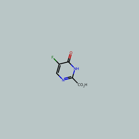 O=C(O)c1ncc(F)c(=O)[nH]1